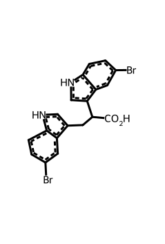 O=C(O)C(Cc1c[nH]c2ccc(Br)cc12)c1c[nH]c2ccc(Br)cc12